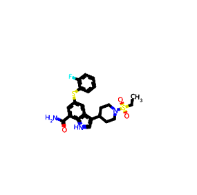 CCS(=O)(=O)N1CCC(c2c[nH]c3c(C(N)=O)cc(Sc4ccccc4F)cc23)CC1